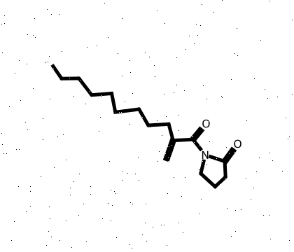 C=C(CCCCCCCCC)C(=O)N1CCCC1=O